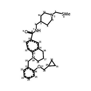 CSCN1CCC(CNC(=O)c2ccc3c(c2)CCCN3Cc2ccccc2OCC2CC2)CC1